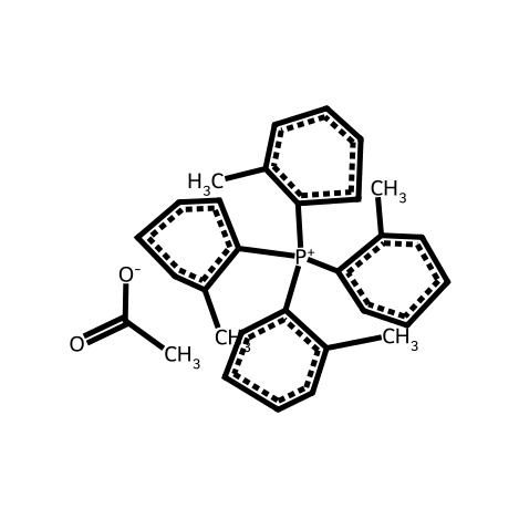 CC(=O)[O-].Cc1ccccc1[P+](c1ccccc1C)(c1ccccc1C)c1ccccc1C